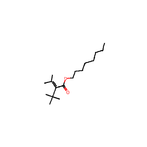 CCCCCCCCOC(=O)C(=C(C)C)C(C)(C)C